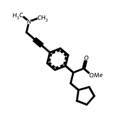 COC(=O)C(CC1CCCC1)c1ccc(C#CCN(C)C)cc1